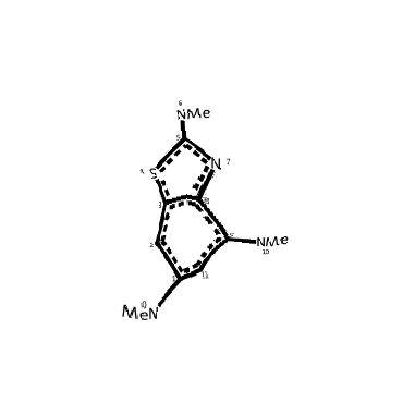 CNc1[c]c2sc(NC)nc2c(NC)c1